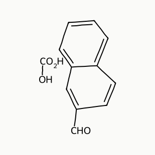 O=C(O)O.O=Cc1ccc2ccccc2c1